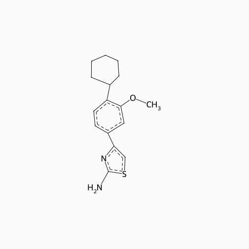 COc1cc(-c2csc(N)n2)ccc1C1CCCCC1